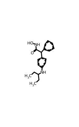 CCC(CC)Nc1ccc(C(C(=O)NO)c2ccccc2)cc1